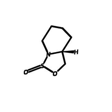 O=S1OC[C@H]2CCCCN21